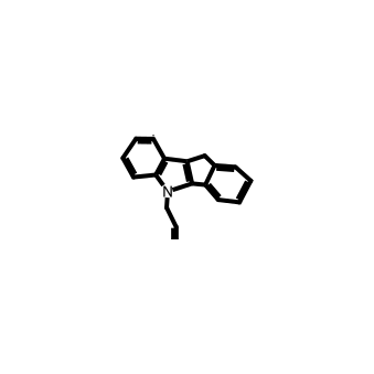 C=CCn1c2c(c3[c]cccc31)Cc1ccccc1-2